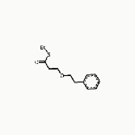 CCSC(=O)CCOCCc1ccccc1